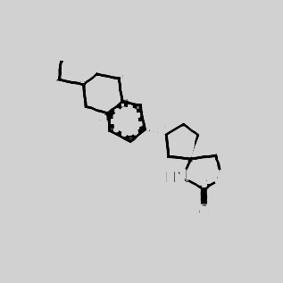 CCC1CCc2cc([C@@H]3CC[C@]4(COC(=O)N4)C3)ccc2C1